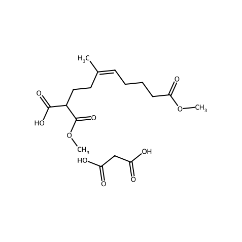 COC(=O)CCCC=C(C)CCC(C(=O)O)C(=O)OC.O=C(O)CC(=O)O